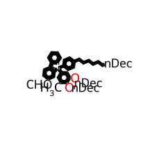 CCCCCCCCCCCCCCCCc1ccc([Si]2(c3cc(C)c(OCCCCCCCCCC)c(OCCCCCCCCCC)c3)c3ccccc3-c3ccc(C=O)cc32)cc1